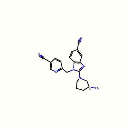 N#Cc1ccc(Cn2c(N3CCC[C@H](N)C3)nc3cc(C#N)ccc32)nc1